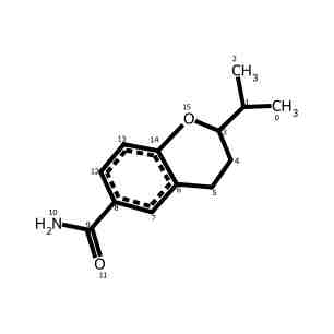 CC(C)C1CCc2cc(C(N)=O)ccc2O1